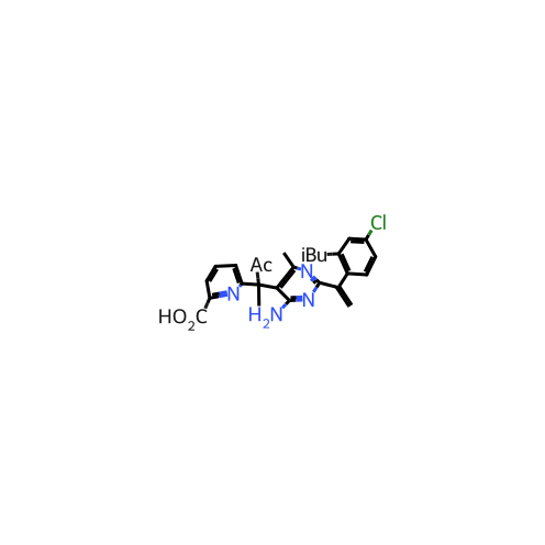 C=C(c1nc(C)c(C(C)(C(C)=O)c2cccc(C(=O)O)n2)c(N)n1)c1ccc(Cl)cc1C(C)CC